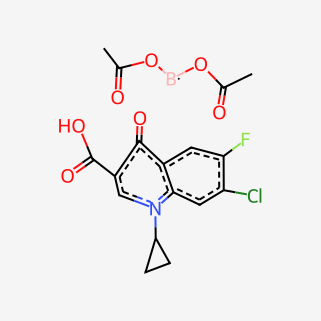 CC(=O)O[B]OC(C)=O.O=C(O)c1cn(C2CC2)c2cc(Cl)c(F)cc2c1=O